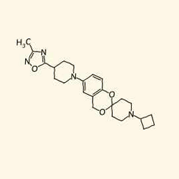 Cc1noc(C2CCN(c3ccc4c(c3)COC3(CCN(C5CCC5)CC3)O4)CC2)n1